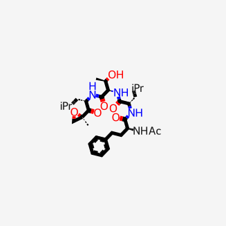 CC(=O)N[C@@H](CCc1ccccc1)C(=O)N[C@@H](CC(C)C)C(=O)N[C@H](C(=O)N[C@@H](CC(C)C)C(=O)[C@@]1(C)CO1)[C@@H](C)O